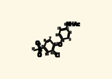 CC(=O)Nc1ccc(Oc2ccc(S(C)(=O)=O)cc2Cl)cc1